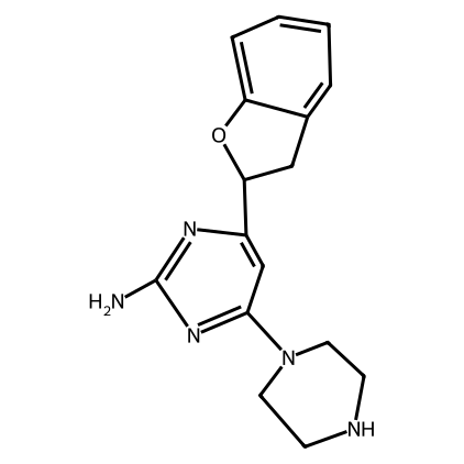 Nc1nc(C2Cc3ccccc3O2)cc(N2CCNCC2)n1